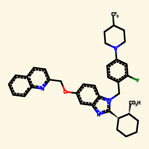 O=C(O)[C@@H]1CCCC[C@@H]1c1nc2cc(OCc3ccc4ccccc4n3)ccc2n1Cc1ccc(N2CCC(C(F)(F)F)CC2)cc1F